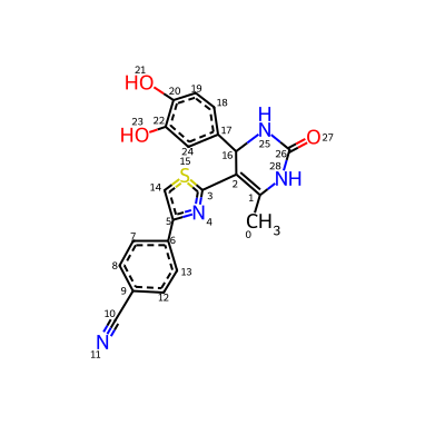 CC1=C(c2nc(-c3ccc(C#N)cc3)cs2)C(c2ccc(O)c(O)c2)NC(=O)N1